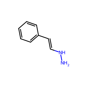 NNC=Cc1ccccc1